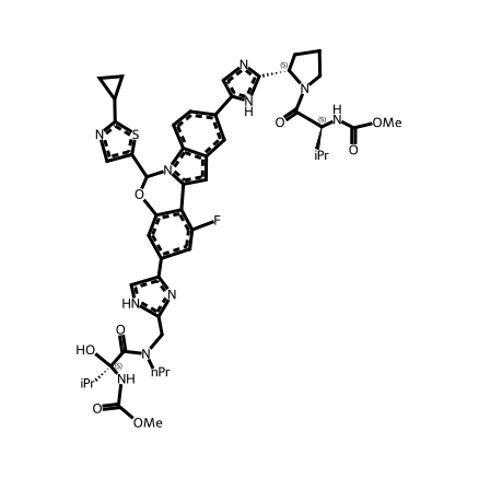 CCCN(Cc1nc(-c2cc(F)c3c(c2)OC(c2cnc(C4CC4)s2)n2c-3cc3cc(-c4cnc([C@@H]5CCCN5C(=O)[C@@H](NC(=O)OC)C(C)C)[nH]4)ccc32)c[nH]1)C(=O)[C@](O)(NC(=O)OC)C(C)C